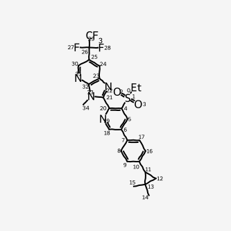 CCS(=O)(=O)c1cc(-c2ccc(C3CC3(C)C)cc2)cnc1-c1nc2cc(C(F)(F)C(F)(F)F)cnc2n1C